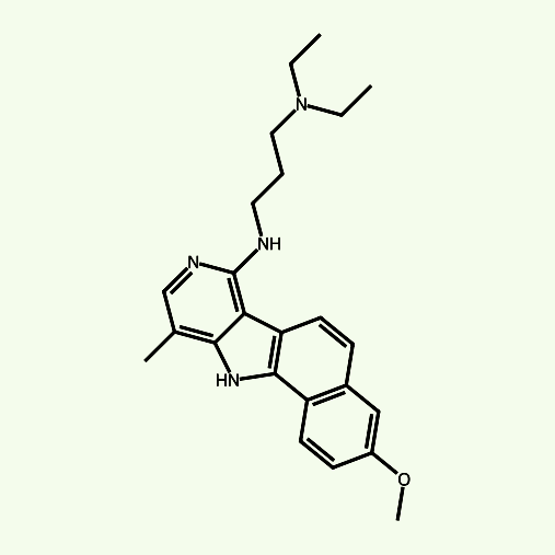 CCN(CC)CCCNc1ncc(C)c2[nH]c3c4ccc(OC)cc4ccc3c12